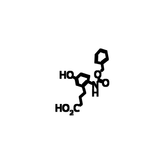 O=C(O)CCCc1cc(O)ccc1NC(=O)OCc1ccccc1